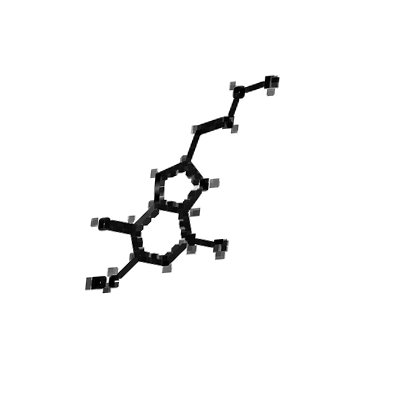 CCON=Cc1cc2c(=O)c(C(=O)O)cn(CC)c2s1